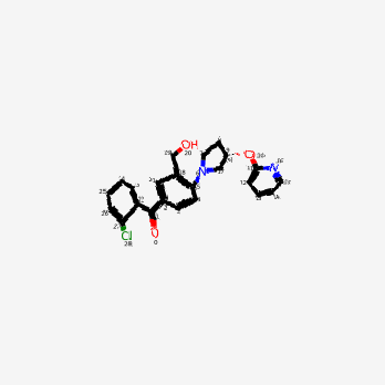 O=C(c1ccc(N2CC[C@H](Oc3ccccn3)C2)c(CO)c1)c1ccccc1Cl